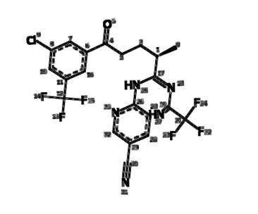 C[C@H](CCC(=O)c1cc(Cl)cc(C(F)(F)F)c1)/C(=N/C(=N)C(F)(F)F)Nc1ccc(C#N)cn1